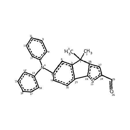 CC1(C)c2cc(N(c3ccccc3)c3ccccc3)ccc2-c2sc(C=O)cc21